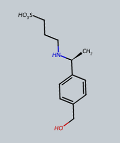 C[C@H](NCCCS(=O)(=O)O)c1ccc(CO)cc1